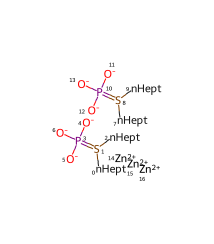 CCCCCCCS(CCCCCCC)=P([O-])([O-])[O-].CCCCCCCS(CCCCCCC)=P([O-])([O-])[O-].[Zn+2].[Zn+2].[Zn+2]